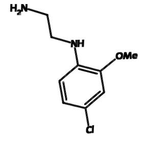 COc1cc(Cl)ccc1NCCN